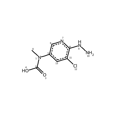 CN(C(=O)O)c1cnc(NN)c(Cl)c1